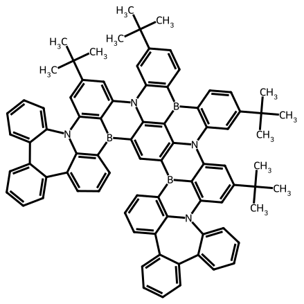 CC(C)(C)c1ccc2c(c1)N1c3cc(C(C)(C)C)cc4c3B(c3cccc5c3N4c3ccccc3-c3ccccc3-5)c3cc4c5c(c31)B2c1ccc(C(C)(C)C)cc1N5c1cc(C(C)(C)C)cc2c1B4c1cccc3c1N2c1ccccc1-c1ccccc1-3